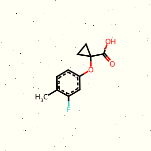 Cc1ccc(OC2(C(=O)O)CC2)cc1F